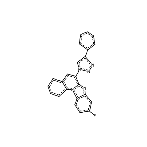 Fc1ccc2c(c1)nc1c(-n3cc(-c4ccccc4)nn3)cc3ccccc3n12